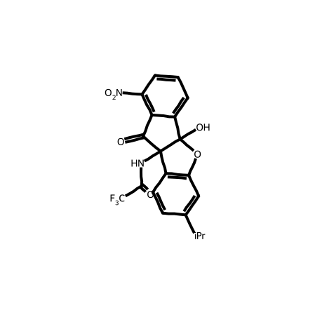 CC(C)c1ccc2c(c1)OC1(O)c3cccc([N+](=O)[O-])c3C(=O)C21NC(=O)C(F)(F)F